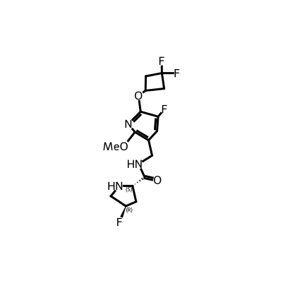 COc1nc(OC2CC(F)(F)C2)c(F)cc1CNC(=O)[C@@H]1C[C@@H](F)CN1